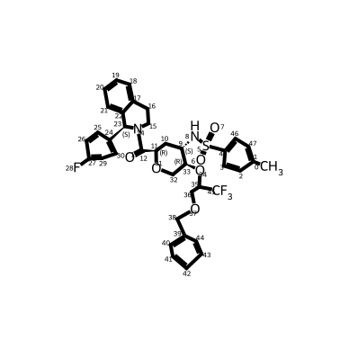 Cc1ccc(S(=O)(=O)N[C@H]2C[C@H](C(=O)N3CCc4ccccc4[C@@H]3c3ccc(F)cc3)OC[C@@H]2OC(COCc2ccccc2)C(F)(F)F)cc1